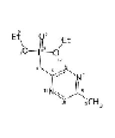 CCOP(=O)(Cc1cnc(C)cn1)OCC